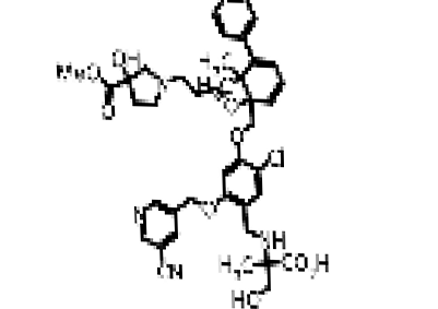 COC(=O)C1(O)CCN(CCCOC2(COc3cc(OCc4cncc(C#N)c4)c(CNC(C)(CO)C(=O)O)cc3Cl)C=CC=C(c3ccccc3)C2(C)C)C1